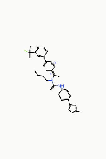 C=C(/C=C\C(C)=C(/C)N(CCCC)C(=C)NC1C=CC(C2=CC=C(C)C2)=CC1)c1cccc(C(C)(C)F)c1